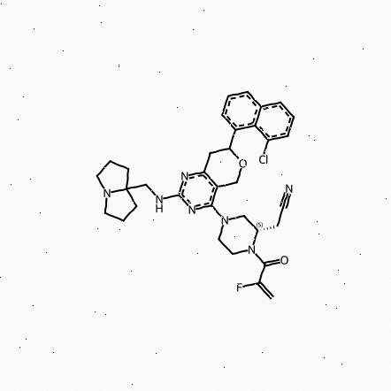 C=C(F)C(=O)N1CCN(c2nc(NCC34CCCN3CCC4)nc3c2COC(c2cccc4cccc(Cl)c24)C3)C[C@@H]1CC#N